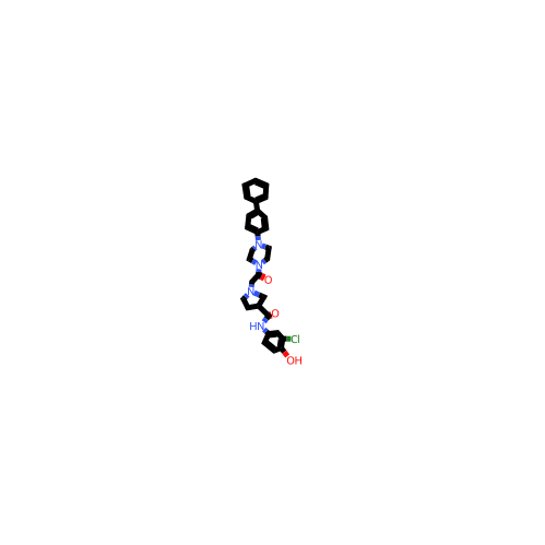 O=C(Nc1ccc(O)c(Cl)c1)C1CCN(CC(=O)N2CCN(c3ccc(-c4ccccc4)cc3)CC2)C1